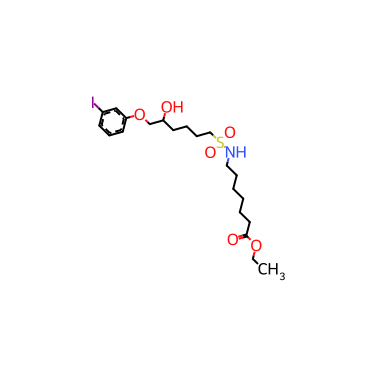 CCOC(=O)CCCCCCNS(=O)(=O)CCCCC(O)COc1cccc(I)c1